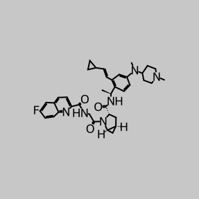 C[C@H](NC(=O)[C@@H]1C[C@H]2C[C@H]2N1C(=O)CNC(=O)c1ccc2cc(F)ccc2n1)c1ccc(N(C)C2CCN(C)CC2)cc1/C=C/C1CC1